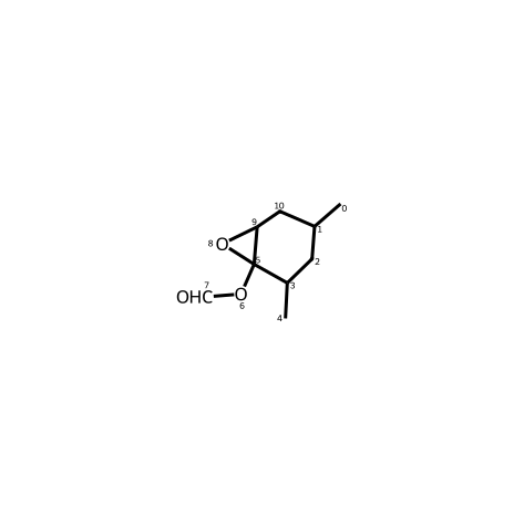 CC1CC(C)C2(OC=O)OC2C1